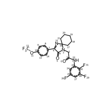 O=C(CN1C(=O)C(c2ccc(OC(F)(F)F)cc2)=NC12CCCCC2)Nc1cc(F)cc(F)c1F